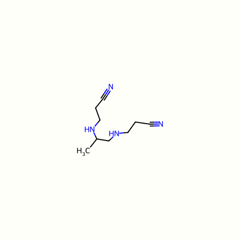 CC(CNCCC#N)NCCC#N